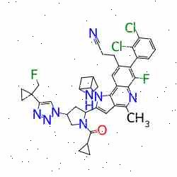 Cc1nc2c(F)c(-c3cccc(Cl)c3Cl)c(CCC#N)cc2c2c1cc(C1CC(n3cc(C4(CF)CC4)nn3)CN1C(=O)C1CC1)n2C1C2CNC1C2